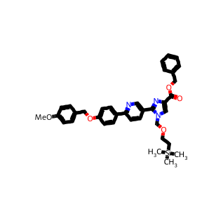 COc1ccc(COc2ccc(-c3ccc(-c4nc(C(=O)OCc5ccccc5)cn4COCC[Si](C)(C)C)cn3)cc2)cc1